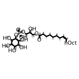 CCCCCCCC/C=C\CCCCCCC(=O)OCC(O)COP(=O)(O)OC1C(O)C(O)C(O)C(O)C1O